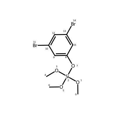 CO[Si](OC)(OC)Oc1cc(Br)cc(Br)c1